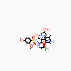 CNC(=O)[C@@H]1C[C@@H](O)C[N+]1(C)C1(c2cc(C)ccc2OC)C(=O)N(S(=O)(=O)c2ccc(OC)cc2OC)c2ncc(Cl)cc21